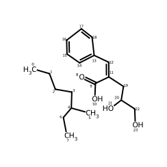 CCCCC(C)CC.O=C(O)C(=Cc1ccccc1)CC(O)CO